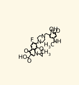 CNc1cc(CN2CCN(c3c(F)cc4c(=O)c(C(=O)O)cn(C5CC5)c4c3OC)CC2)n(O)c(=O)c1